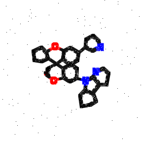 c1cncc(-c2ccc3c(c2)Oc2ccccc2C32c3ccccc3Oc3cc(-n4c5ccccc5c5cccnc54)ccc32)c1